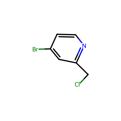 ClCc1cc(Br)ccn1